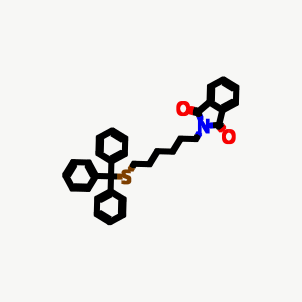 O=C1c2ccccc2C(=O)N1CCCCCCSC(c1ccccc1)(c1ccccc1)c1ccccc1